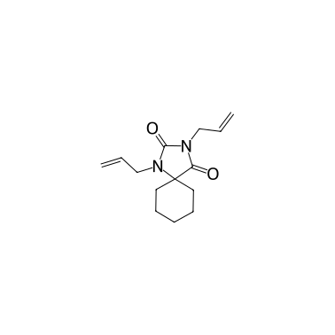 C=CCN1C(=O)N(CC=C)C2(CCCCC2)C1=O